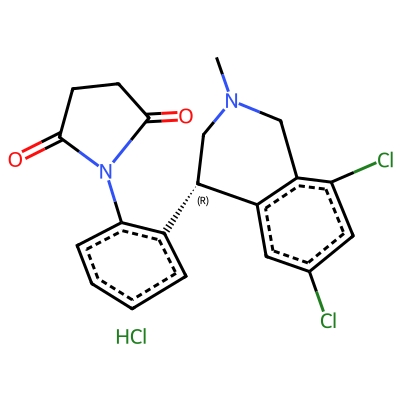 CN1Cc2c(Cl)cc(Cl)cc2[C@H](c2ccccc2N2C(=O)CCC2=O)C1.Cl